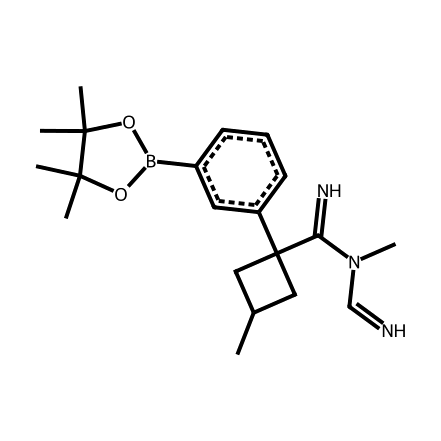 CC1CC(C(=N)N(C)C=N)(c2cccc(B3OC(C)(C)C(C)(C)O3)c2)C1